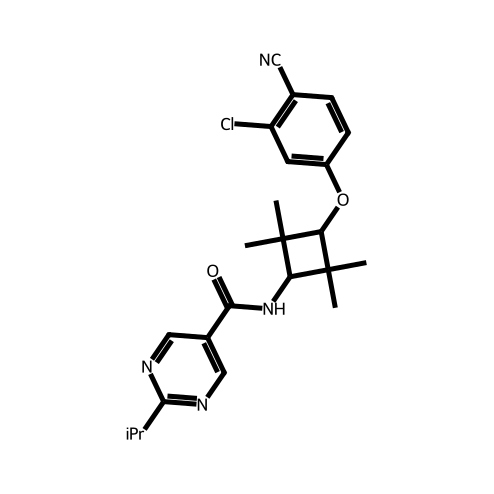 CC(C)c1ncc(C(=O)NC2C(C)(C)C(Oc3ccc(C#N)c(Cl)c3)C2(C)C)cn1